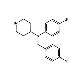 Fc1ccc(CN(c2ccc(F)cc2)C2CCNCC2)cc1